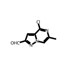 Cc1cn2nc(C=O)cc2c(Cl)n1